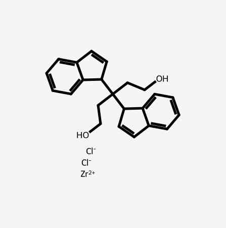 OCCC(CCO)(C1C=Cc2ccccc21)C1C=Cc2ccccc21.[Cl-].[Cl-].[Zr+2]